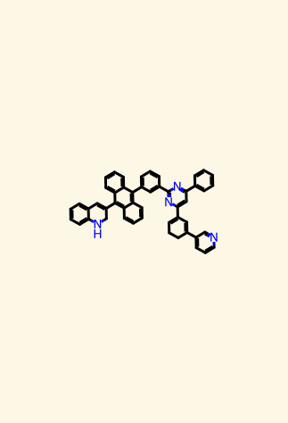 C1=C(c2cccnc2)CCC=C1c1cc(-c2ccccc2)nc(-c2cccc(-c3c4ccccc4c(C4=Cc5ccccc5NC4)c4ccccc34)c2)n1